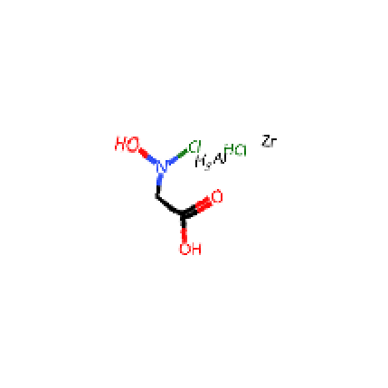 Cl.O=C(O)CN(O)Cl.[AlH3].[Zr]